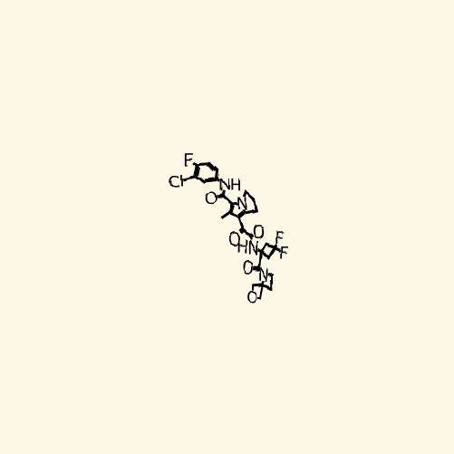 Cc1c(C(=O)C(=O)NC2(C(=O)N3CCC34COC4)CC(F)(F)C2)c2n(c1C(=O)Nc1ccc(F)c(Cl)c1)CCC2